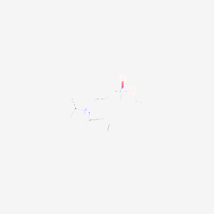 CCOP(C)(=O)SCCN(C(C)C)C(C)C.[PbH2]